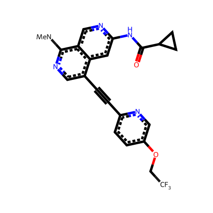 CNc1ncc(C#Cc2ccc(OCC(F)(F)F)cn2)c2cc(NC(=O)C3CC3)ncc12